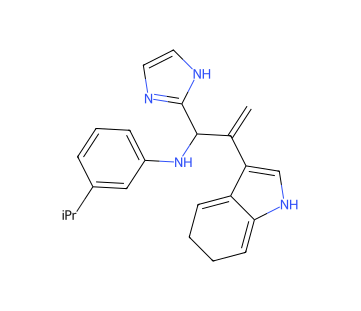 C=C(c1c[nH]c2c1=CCCC=2)C(Nc1cccc(C(C)C)c1)c1ncc[nH]1